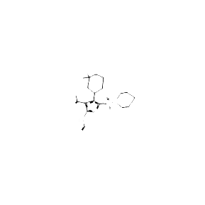 NC(=O)c1c(NC=O)sc(S(=O)(=O)N2CCCCC2)c1C1CCCC(F)(F)C1